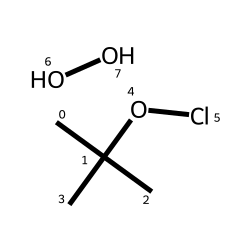 CC(C)(C)OCl.OO